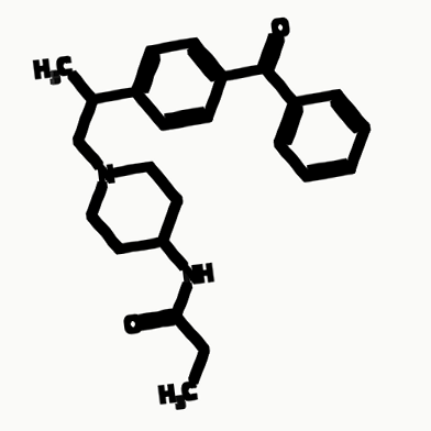 CCC(=O)NC1CCN(CC(C)c2ccc(C(=O)c3ccccc3)cc2)CC1